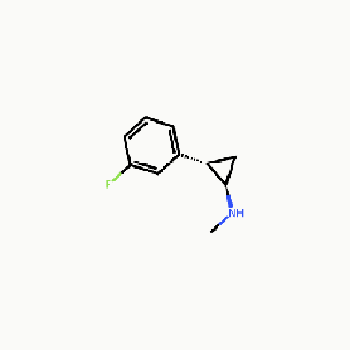 CN[C@@H]1C[C@H]1c1cccc(F)c1